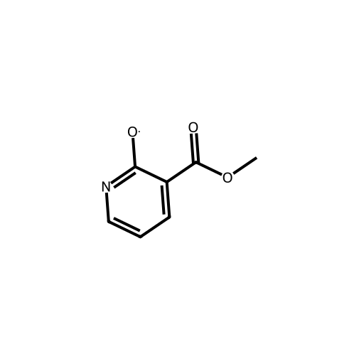 COC(=O)c1cccnc1[O]